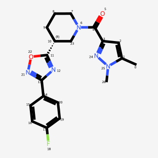 Cc1cc(C(=O)N2CCC[C@@H](c3nc(-c4ccc(F)cc4)no3)C2)nn1C